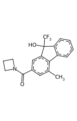 Cc1cc(C(=O)N2CCC2)cc2c1-c1ccccc1C2(O)C(F)(F)F